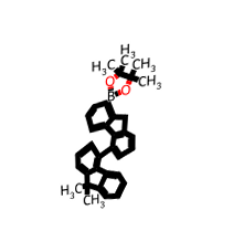 CC1(C)c2ccccc2-c2c(-c3cccc4c3-c3cccc(B5OC(C)(C)C(C)(C)O5)c3C4)cccc21